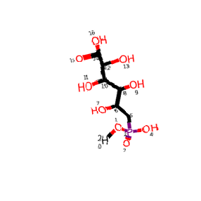 [2H]OP(=O)(O)CC(O)C(O)C(O)C(O)C(=O)O